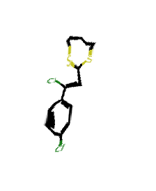 ClC(=CC1SCCCS1)c1ccc(Cl)cc1